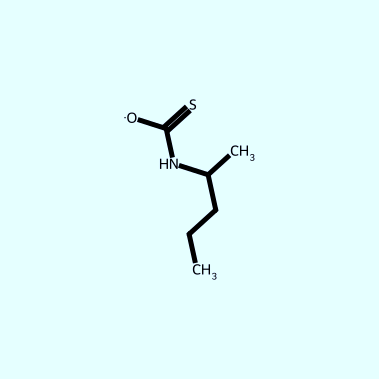 CCCC(C)NC([O])=S